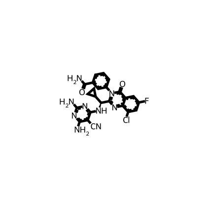 N#Cc1c(N)nc(N)nc1N[C@H](c1nc2c(Cl)cc(F)cc2c(=O)n1-c1cccc(C(N)=O)c1)C1CC1